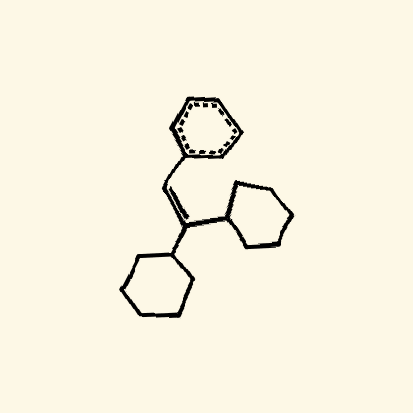 C(=C(C1CCCCC1)C1CCCCC1)c1ccccc1